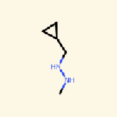 CNNCC1CC1